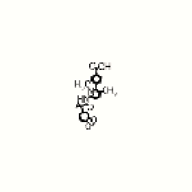 Cc1cc(C(=O)O)ccc1-c1nc(NC(=O)C2(c3ccc4c(c3)OCO4)CC2)ccc1C